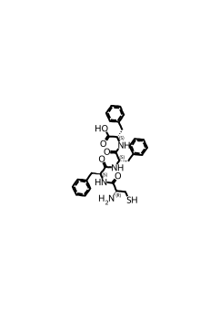 N[C@@H](CS)C(=O)N[C@@H](Cc1ccccc1)C(=O)N[C@@H](Cc1ccccc1)C(=O)N[C@@H](Cc1ccccc1)C(=O)O